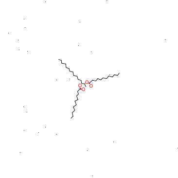 CCCCCCCCCCCCC(OC(=O)CCCCCCCCCCC)C(C)OC(=O)CCCCCCCCCCC